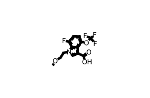 COCCn1cc(C(=O)O)c2c(OC(F)(F)F)ccc(F)c21